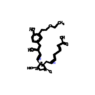 CCOCCc1cc(CC(O)/C=C/[C@@H]2[C@@H](C/C=C\CCCC(=O)O)[C@H](Cl)C[C@H]2O)ccc1O